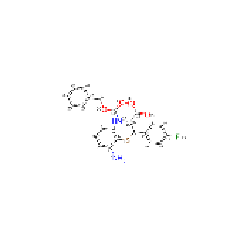 Nc1ccccc1SC(c1ccc(F)cc1)[C@H](NC(=O)OCc1ccccc1)C(=O)O